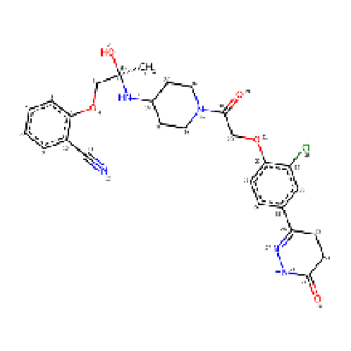 C[C@@](O)(COc1ccccc1C#N)NC1CCN(C(=O)COc2ccc(C3=NNC(=O)CC3)cc2Cl)CC1